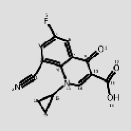 N#Cc1cc(F)cc2c(=O)c(C(=O)O)cn(C3CC3)c12